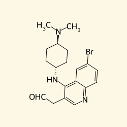 CN(C)[C@H]1CC[C@H](Nc2c(CC=O)cnc3ccc(Br)cc23)CC1